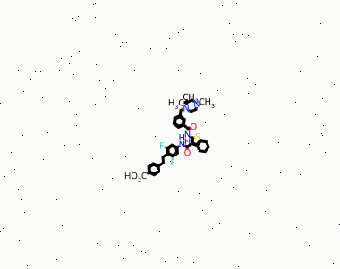 CN1CCN(Cc2cccc(C(=O)Nc3sc4c(c3C(=O)Nc3cc(F)c(CCc5ccc(C(=O)O)cc5)c(F)c3)CCCC4)c2)C(C)(C)C1